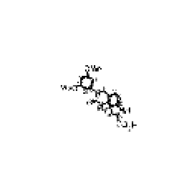 COc1cc(OC)cc(N2Cc3cnc4[nH]c(C(=O)O)cc4c3N(C)C2=O)c1